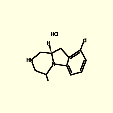 CC1CNC[C@H]2Cc3c(Cl)cccc3N12.Cl